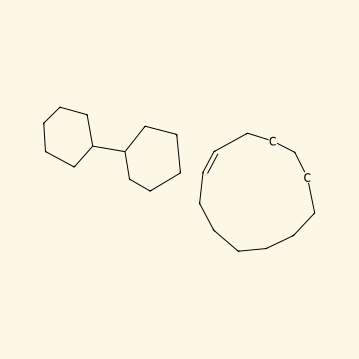 C1=CCCCCCCCCCC1.C1CCC(C2CCCCC2)CC1